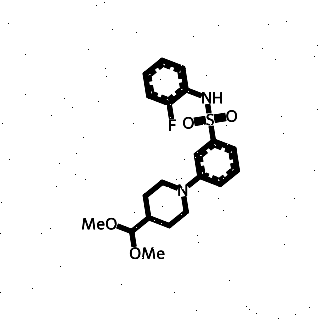 COC(OC)C1CCN(c2cccc(S(=O)(=O)Nc3ccccc3F)c2)CC1